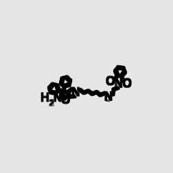 CN(CCCCCCCN1CCC(C(C(N)=O)(c2ccccc2)c2ccccc2)C1)CCCN1C(=O)c2ccccc2C1=O